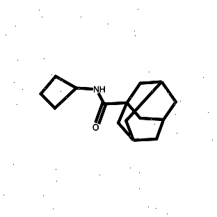 O=C(NC1CCC1)C12CC3CC(CC(C3)C1)C2